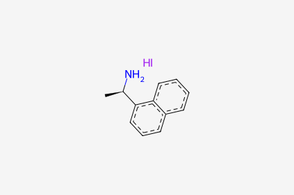 C[C@@H](N)c1cccc2ccccc12.I